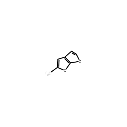 FC(F)(F)c1cc2ccoc2o1